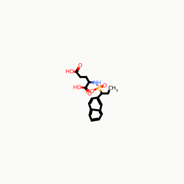 CCC(c1ccc2ccccc2c1)P(=O)(O)NC(CCC(=O)O)C(=O)O